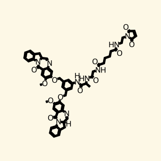 COc1cc2c(cc1OCc1cc(COc3cc4c(cc3OC)C(=O)N3c5ccccc5C[C@H]3C=N4)cc(NC(=O)C(C)NC(=O)CNC(=O)CCCCC(=O)NCCN3C(=O)C=CC3=O)c1)N=CC1Cc3ccccc3N1C2=O